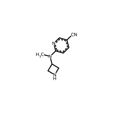 CN(c1ccc(C#N)cn1)C1CNC1